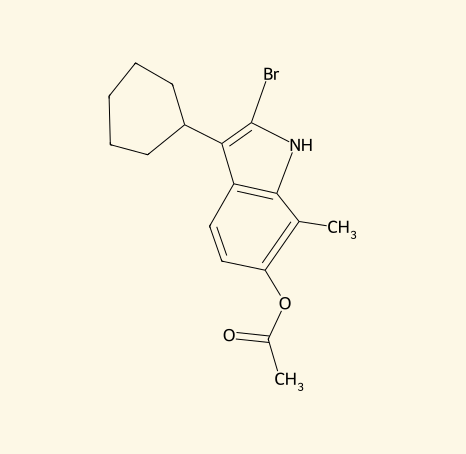 CC(=O)Oc1ccc2c(C3CCCCC3)c(Br)[nH]c2c1C